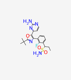 CCC(c1cccc(-c2nc(C(C)(C)C)oc2-c2ccnc(N)n2)c1F)S(N)(=O)=O